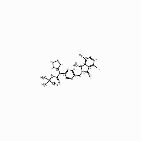 CC(C)(C)OC(=O)C(c1ccc(CN2C(=O)c3c(F)ccc(F)c3C2O)cc1)C1CCCC1